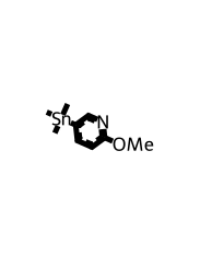 COc1cc[c]([Sn]([CH3])([CH3])[CH3])cn1